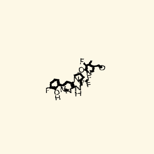 Cc1c(C=O)cnc(O[C@H]2CN3c4cc(-c5cccc(F)c5O)nnc4NC[C@]3(C(F)F)C2)c1F